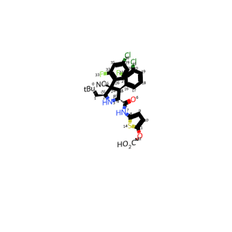 CC(C)(C)C[C@@H]1N[C@@H](C(=O)Nc2ccc(OC(=O)O)s2)[C@H](c2cccc(Cl)c2F)[C@@]1(C#N)c1ccc(Cl)cc1F